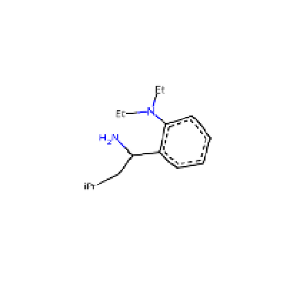 CCN(CC)c1ccccc1C(N)CC(C)C